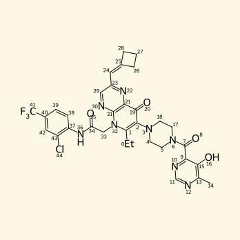 CCc1c(N2CCN(C(=O)c3ncnc(C)c3O)CC2)c(=O)c2nc(C=C3CCC3)cnc2n1CC(=O)Nc1ccc(C(F)(F)F)cc1Cl